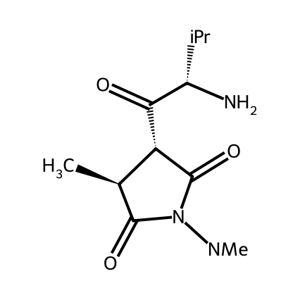 CNN1C(=O)[C@@H](C(=O)[C@@H](N)C(C)C)[C@H](C)C1=O